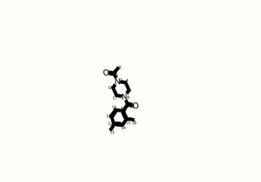 CC(=O)N1CCN(C(=O)c2ccc(C)cc2C)CC1